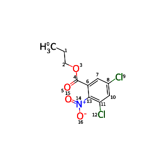 CCCOC(=O)c1cc(Cl)cc(Cl)c1[N+](=O)[O-]